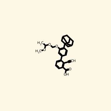 C#Cc1c(C(=O)O)cccc1-c1ccc(C23CC4CC(CC(C4)C2)C3)c(OCOC(C)OC)c1